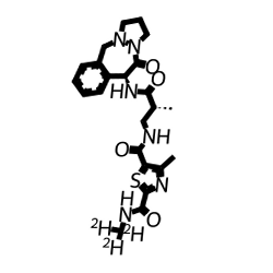 [2H]C([2H])([2H])NC(=O)c1nc(C)c(C(=O)NC[C@@H](C)C(=O)N[C@@H]2C(=O)N3CCCN3Cc3ccccc32)s1